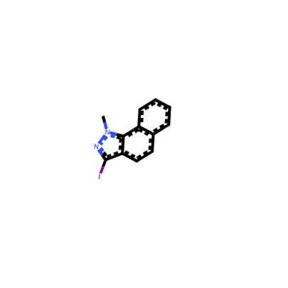 Cn1nc(I)c2ccc3ccccc3c21